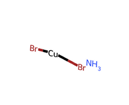 N.[Br][Cu][Br]